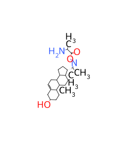 C/C(=N/OC(=O)C(C)N)[C@H]1CCC2C3CC=C4CC(O)CC[C@]4(C)C3CC[C@@]21C